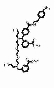 COC(=O)c1cccc(CN(CCO)CCOCCOCCN(CCO)C(c2ccc(C(=O)NCCc3ccc(N)cc3)cc2)c2cccc(C(=O)OC)n2)n1